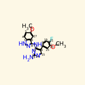 COc1ccc2[nH]nc(Nc3nc(N)ncc3-c3ccc(F)c(OC)c3)c2c1